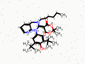 CCCCCCN(Cc1cccnc1)C(Nc1cc(C(C)(C)C)c(O)c(C(C)(C)C)c1)=C1C(=O)OC(C)(C)OC1=O